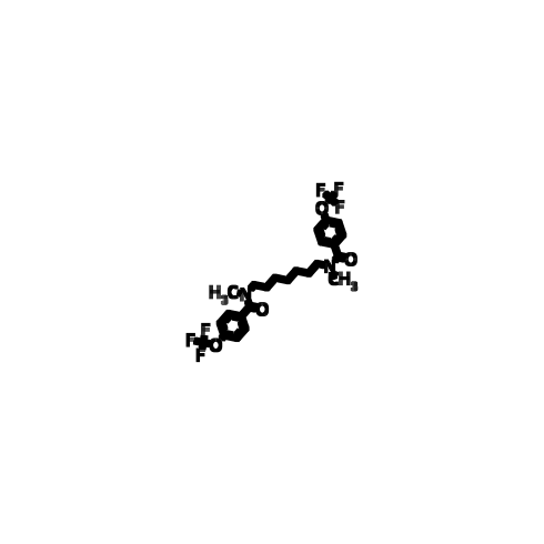 CN(CCCCCCCN(C)C(=O)c1ccc(OC(F)(F)F)cc1)C(=O)c1ccc(OC(F)(F)F)cc1